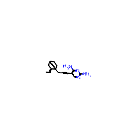 C/C=C1\CC2C=CC1(CC#Cc1cnc(N)nc1N)CC2